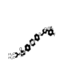 CCC(CC)n1ncn(-c2ccc(N3CCN(c4ccc(OCC5COC(C)(c6ccc(F)cc6F)C5)cc4)CC3)cc2)c1=O